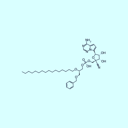 CCCCCCCCCCCCCCCCO[C@H](COCc1ccccc1)COP(=O)(O)OC[C@@]1(C#N)O[C@@H](c2ccc3c(N)ncnn23)[C@H](O)[C@@H]1O